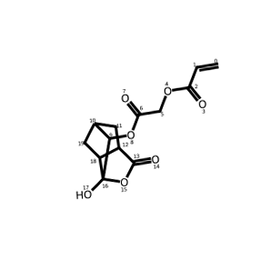 C=CC(=O)OCC(=O)OC1C2CC3C(=O)OC1(O)C3C2